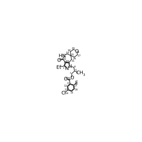 CCc1nn(C[C@@H](C)COC(=O)c2cc(Cl)ccc2F)c2c1C(=O)NCC1(CCOCC1)C2